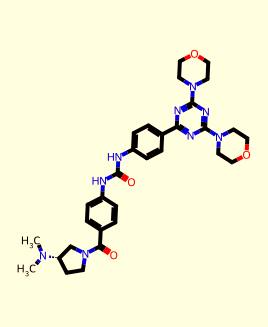 CN(C)[C@H]1CCN(C(=O)c2ccc(NC(=O)Nc3ccc(-c4nc(N5CCOCC5)nc(N5CCOCC5)n4)cc3)cc2)C1